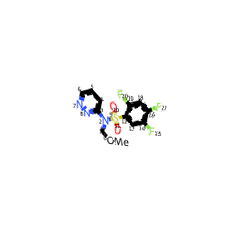 COCN(c1cccnn1)S(=O)(=O)c1cc(F)c(F)cc1F